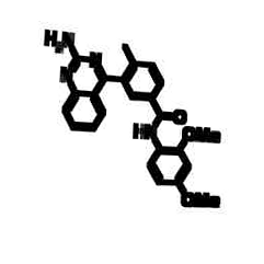 COc1ccc(NC(=O)c2ccc(C)c(-c3nc(N)nc4ccccc34)c2)c(OC)c1